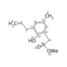 C=CCc1cc(C)cc(CC(=O)OC)c1O